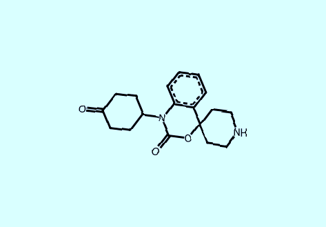 O=C1CCC(N2C(=O)OC3(CCNCC3)c3ccccc32)CC1